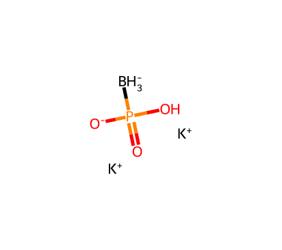 [BH3-]P(=O)([O-])O.[K+].[K+]